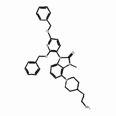 Cn1c(=O)n(-c2ccc(OCc3ccccc3)nc2OCc2ccccc2)c2cccc(N3CCC(CCN)CC3)c21